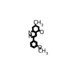 COc1cccc(-c2cc3c(nn2)CC(C)CC3=O)c1